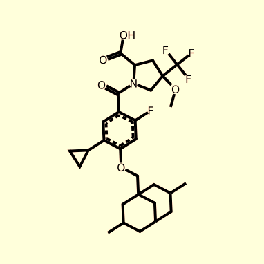 COC1(C(F)(F)F)CC(C(=O)O)N(C(=O)c2cc(C3CC3)c(OCC34CC(C)CC(CC(C)C3)C4)cc2F)C1